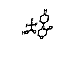 O=C(O)C(F)(F)F.O=C1COCCN1C1CCNCC1